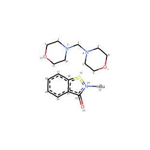 C1CN(CN2CCOCC2)CCO1.CCCCn1sc2ccccc2c1=O